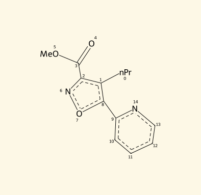 CCCc1c(C(=O)OC)noc1-c1ccccn1